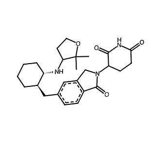 CC1(C)OCCC1N[C@H]1CCCC[C@@H]1Cc1ccc2c(c1)CN(C1CCC(=O)NC1=O)C2=O